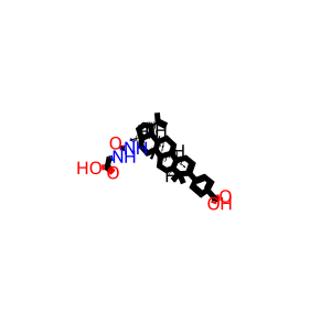 C=C(C)[C@@H]1CC[C@]2(CNC(=O)NCC(=O)O)CC[C@]3(C)[C@H](CC[C@@H]4[C@@]5(C)CC=C(c6ccc(C(=O)O)cc6)C(C)(C)[C@@H]5CC[C@]43C)[C@@H]12